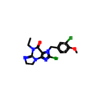 CCN1C(=O)c2c(nc(Br)n2Cc2ccc(OC)c(Cl)c2)N2CCN=C12